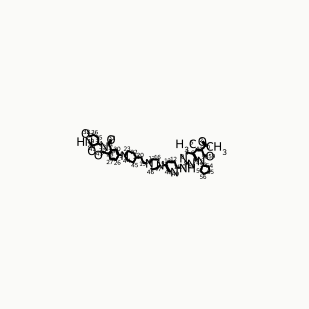 CC(=O)c1c(C)c2cnc(Nc3ccc(N4CCN(CCC5CCN(c6ccc7c(c6)C(=O)N(C6CCC(=O)NC6=O)C7=O)CC5)CC4)cn3)nc2n(C2CCCC2)c1=O